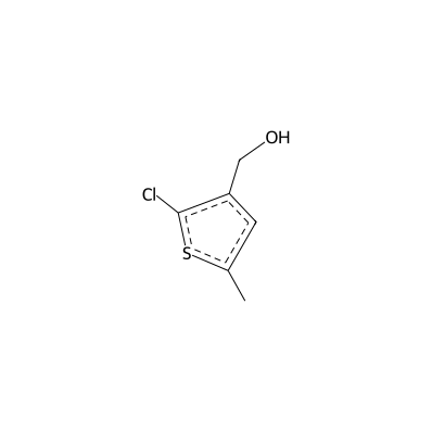 Cc1cc(CO)c(Cl)s1